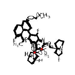 CCc1c(F)ccc2cc(OCOC)cc(-c3c(F)cc4c(N5C[C@H]6CC[C@@H](C5)N6C(=O)OC(C)(C)C)nc(OC[C@@]56CCCN5C[C@H](F)C6)nc4c3F)c12